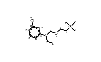 CCN(COCCS(C)(C)C)c1ccnc(Cl)n1